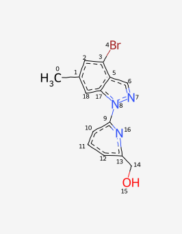 Cc1cc(Br)c2cnn(-c3cccc(CO)n3)c2c1